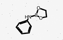 c1ccc(NB2OCCO2)cc1